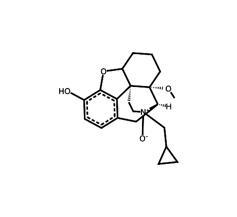 CO[C@@]12CCCC3Oc4c(O)ccc5c4[C@@]31CC[N+]([O-])(CC1CC1)[C@@H]2C5